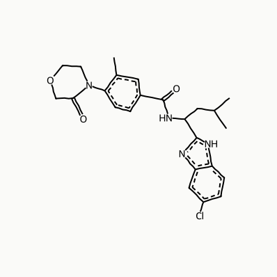 Cc1cc(C(=O)NC(CC(C)C)c2nc3cc(Cl)ccc3[nH]2)ccc1N1CCOCC1=O